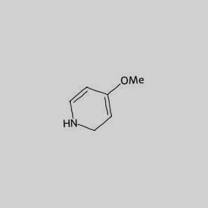 COC1=CCNC=C1